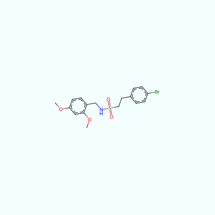 COc1ccc(CNS(=O)(=O)CCc2ccc(Br)cc2)c(OC)c1